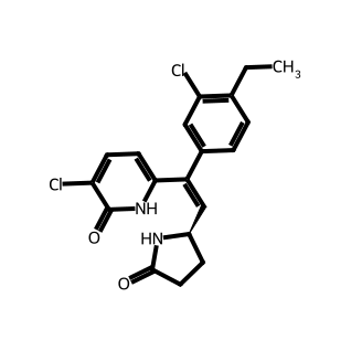 CCc1ccc(/C(=C/[C@H]2CCC(=O)N2)c2ccc(Cl)c(=O)[nH]2)cc1Cl